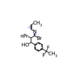 C/C=C\N=C(\Br)C(CCC)C(O)c1ccc(C(C)(F)F)cc1